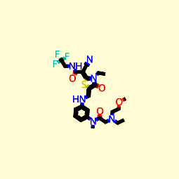 CCN(CCOC)CC(=O)N(C)c1cccc(NC=c2sc(=C(C#N)C(=O)NCC(F)(F)F)n(CC)c2=O)c1